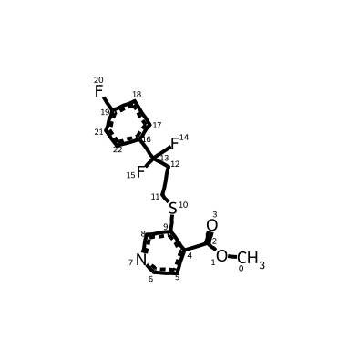 COC(=O)c1ccncc1SCCC(F)(F)c1ccc(F)cc1